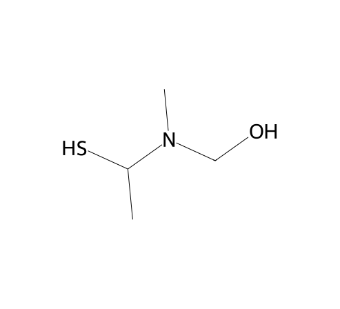 CC(S)N(C)CO